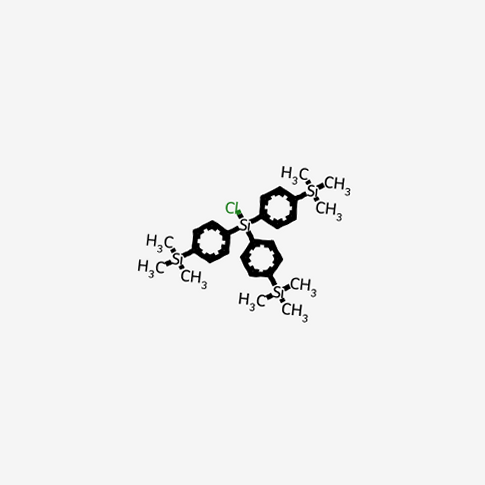 C[Si](C)(C)c1ccc([Si](Cl)(c2ccc([Si](C)(C)C)cc2)c2ccc([Si](C)(C)C)cc2)cc1